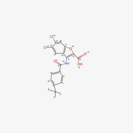 CC(C)(C)c1ccc(C(=O)Nc2c(C(=O)O)oc3cc(Cl)c(Cl)cc23)cc1